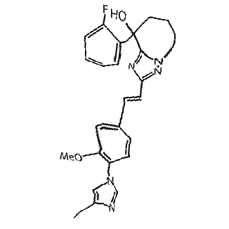 COc1cc(/C=C/c2nc3n(n2)CCCC3(O)c2ccccc2F)ccc1-n1cnc(C)c1